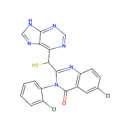 O=c1c2cc(Cl)ccc2nc(C(S)c2ncnc3[nH]cnc23)n1-c1ccccc1Cl